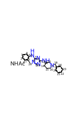 CC(=O)Nc1cccc(Nc2ncnc(N[C@H]3CCCN(Cc4ccccc4)C3)n2)c1C